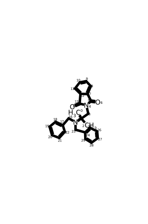 CC(C)(CN1C(=O)c2ccccc2C1=O)N(Cc1ccccc1)Cc1ccccc1